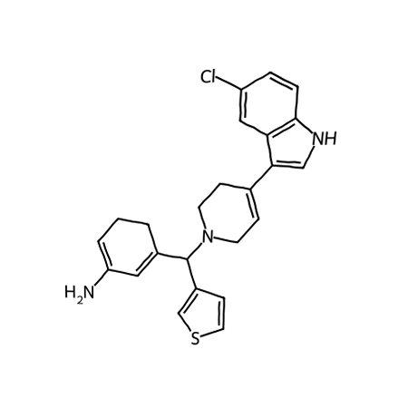 NC1=CCCC(C(c2ccsc2)N2CC=C(c3c[nH]c4ccc(Cl)cc34)CC2)=C1